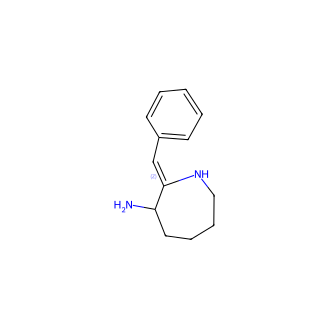 NC1CCCCN/C1=C\c1ccccc1